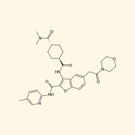 Cc1ccc(NC(=O)c2oc3ccc(CC(=O)N4CCOCC4)cc3c2NC(=O)[C@H]2CC[C@H](C(=O)N(C)C)CC2)nc1